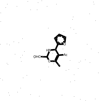 CC(=O)C1=C(C)OC(C=O)NC1c1ccco1